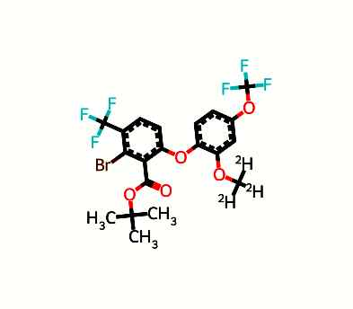 [2H]C([2H])([2H])Oc1cc(OC(F)(F)F)ccc1Oc1ccc(C(F)(F)F)c(Br)c1C(=O)OC(C)(C)C